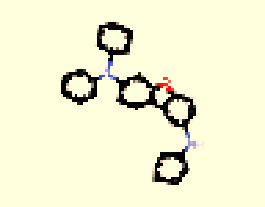 c1ccc(Nc2ccc3oc4cc(N(c5ccccc5)c5ccccc5)ccc4c3c2)cc1